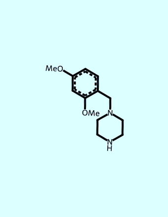 COc1ccc(CN2CCNCC2)c(OC)c1